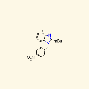 CCCCc1nc2c(C)cccc2n1Cc1ccc([N+](=O)[O-])cc1